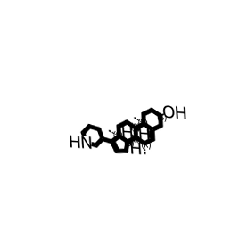 C[C@H]1C=C2C[C@@H](O)CC[C@]2(C)[C@H]2CC[C@]3(C)C(C4CCCNC4)=CC[C@H]3[C@H]12